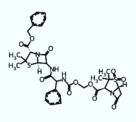 CC1(C)S[C@@H]2C(NC(=O)C(NC(=O)OCOC(=O)[C@@H]3N4C(=O)C[C@H]4S(=O)(=O)C3(C)C)c3ccccc3)C(=O)N2[C@H]1C(=O)OCc1ccccc1